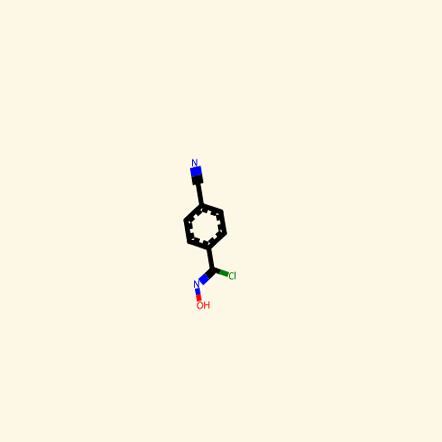 N#Cc1ccc(C(Cl)=NO)cc1